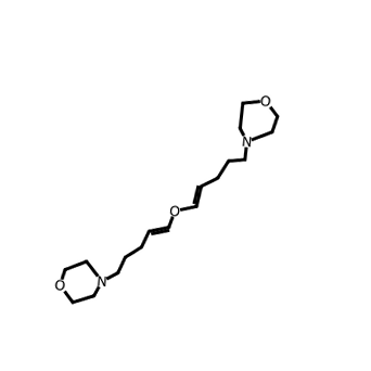 C(=COC=CCCCN1CCOCC1)CCCN1CCOCC1